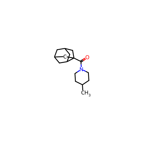 CC1CCN(C(=O)C23CC4CC(CC2C4)C3)CC1